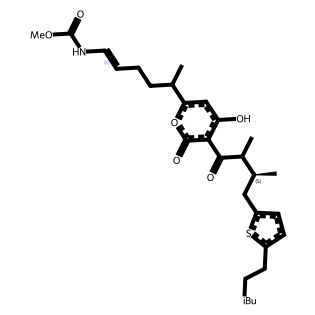 CCC(C)CCc1ccc(C[C@H](C)C(C)C(=O)c2c(O)cc(C(C)CC/C=C/NC(=O)OC)oc2=O)s1